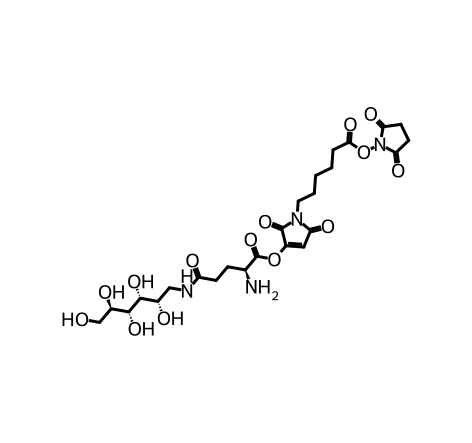 N[C@@H](CCC(=O)NC[C@H](O)[C@@H](O)[C@H](O)[C@H](O)CO)C(=O)OC1=CC(=O)N(CCCCCC(=O)ON2C(=O)CCC2=O)C1=O